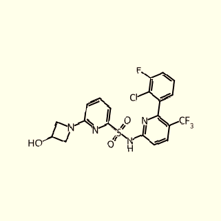 O=S(=O)(Nc1ccc(C(F)(F)F)c(-c2cccc(F)c2Cl)n1)c1cccc(N2CC(O)C2)n1